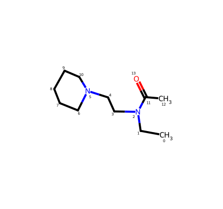 CCN(CCN1CCCCC1)C(C)=O